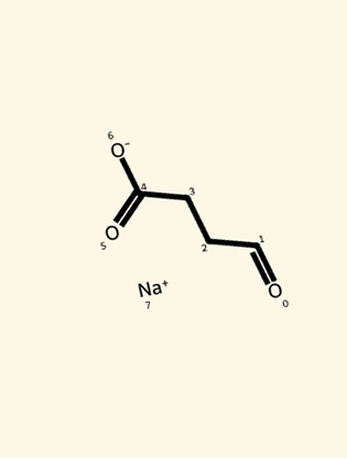 O=CCCC(=O)[O-].[Na+]